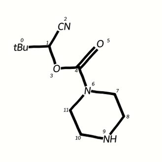 CC(C)(C)C(C#N)OC(=O)N1CCNCC1